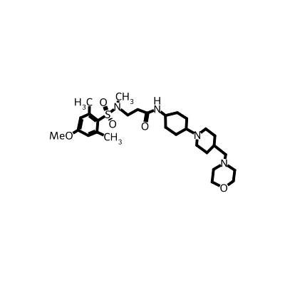 COc1cc(C)c(S(=O)(=O)N(C)CCC(=O)NC2CCC(N3CCC(CN4CCOCC4)CC3)CC2)c(C)c1